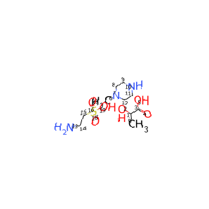 CC(O)C(=O)O.CN1CCNCC1.NCCS(=O)(=O)O